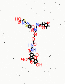 CC1=C(C)C(=O)C(C(C)(C)CC(=O)N(C)CCN(CCOCCOCCC(=O)NCCNC(=O)c2ccc3c(c2)C(=O)OC32c3ccc(O)cc3Oc3cc(O)ccc32)C(=O)Oc2ccc3sc(C4=NC(C(=O)O)CS4)nc3c2)=C(C)C1=O